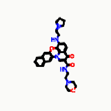 O=C(NCCN1CCOCC1)c1cn2c3c(c(NCCN4CCCC4)ccc3c1=O)Oc1cc3ccccc3cc1-2